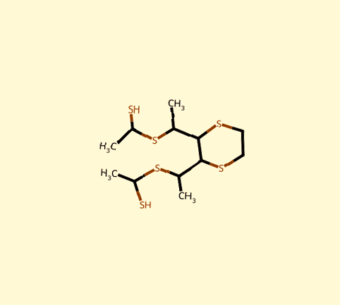 CC(S)SC(C)C1SCCSC1C(C)SC(C)S